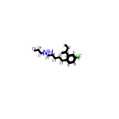 C=C(CC)c1cc(F)ccc1CCCCCNCCC